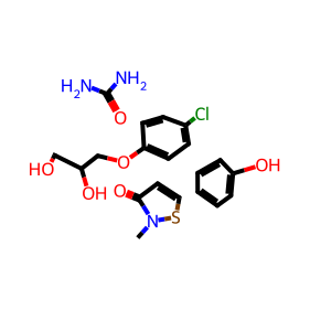 Cn1sccc1=O.NC(N)=O.OCC(O)COc1ccc(Cl)cc1.Oc1ccccc1